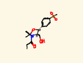 CCC(=O)N1[C@H](CO)[C@@H](c2ccc(S(C)(=O)=O)cc2)OC1(C)C